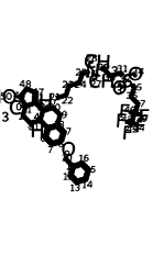 C[C@]12CC[C@@H]3c4ccc(OCc5ccccc5)cc4C[C@@H](CCCCC[N+](C)(C)CCCS(=O)(=O)CCCC(F)(F)C(F)(F)F)[C@H]3C1=CC[C@@H]2O